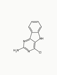 Nc1nc(Cl)c2[nH]c3ccccc3c2n1